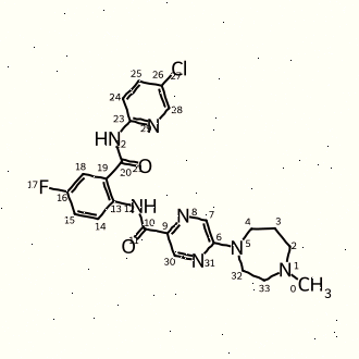 CN1CCCN(c2cnc(C(=O)Nc3ccc(F)cc3C(=O)Nc3ccc(Cl)cn3)cn2)CC1